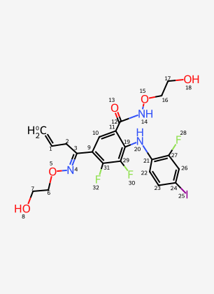 C=CC/C(=N\OCCO)c1cc(C(=O)NOCCO)c(Nc2ccc(I)cc2F)c(F)c1F